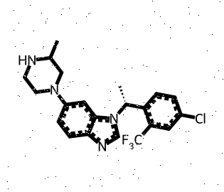 CC1CN(c2ccc3ncn([C@H](C)c4ccc(Cl)cc4C(F)(F)F)c3c2)CCN1